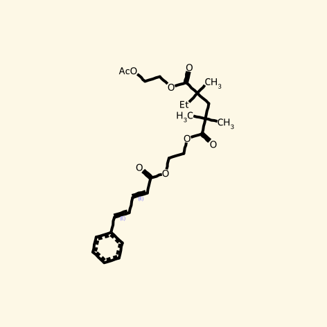 CCC(C)(CC(C)(C)C(=O)OCCOC(=O)/C=C/C=C/c1ccccc1)C(=O)OCCOC(C)=O